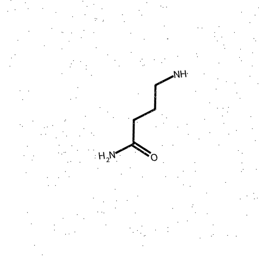 [NH]CCCC(N)=O